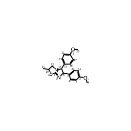 COc1ccc(C2N=C3SC(C)CN3C2c2ccc(OC)cc2)cc1